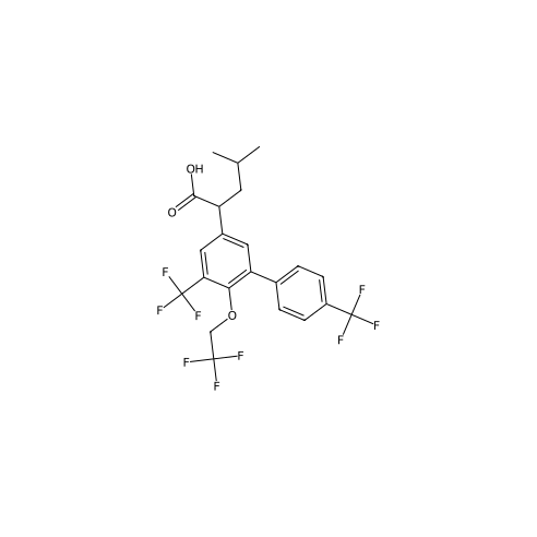 CC(C)CC(C(=O)O)c1cc(-c2ccc(C(F)(F)F)cc2)c(OCC(F)(F)F)c(C(F)(F)F)c1